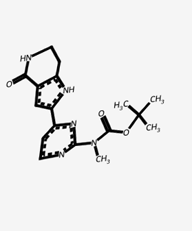 CN(C(=O)OC(C)(C)C)c1nccc(-c2cc3c([nH]2)CCNC3=O)n1